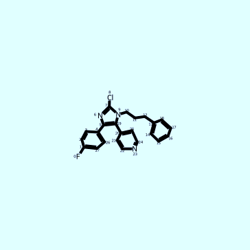 Fc1ccc(-c2nc(Cl)n(CCCc3ccccc3)c2-c2ccncc2)cc1